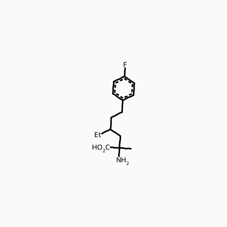 CCC(CCc1ccc(F)cc1)CC(C)(N)C(=O)O